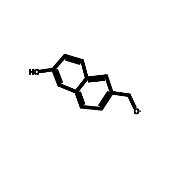 [O]Cc1ccc2cc(O)ccc2c1